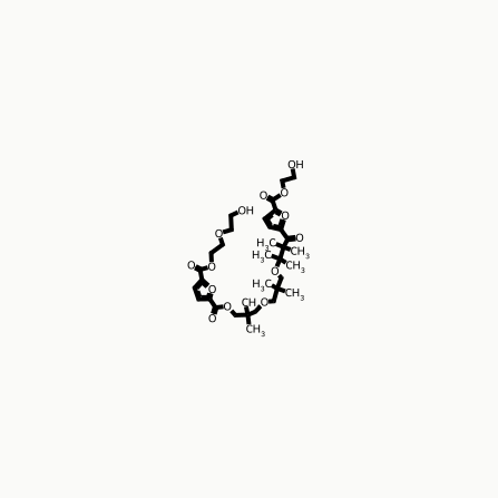 CC(C)(COCC(C)(C)COC(C)(C)C(C)(C)C(=O)c1ccc(C(=O)OCCO)o1)COC(=O)c1ccc(C(=O)OCCOCCO)o1